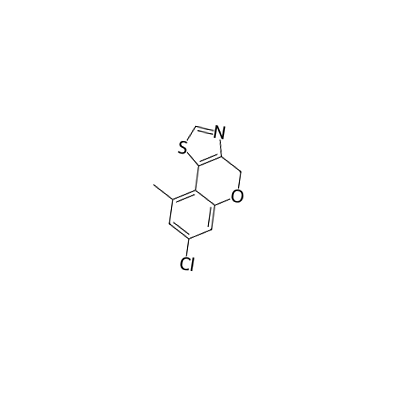 Cc1cc(Cl)cc2c1-c1scnc1CO2